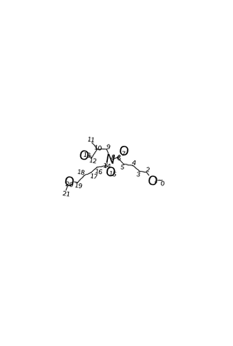 COCCCCC(=O)N(CC(C)C=O)C(=O)CCCCOC